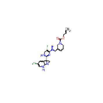 C=CCOC(=O)N1CCCC(CNC2=C(F)CNC(C34CN3C3NC=C(Cl)C=C34)=N2)C1